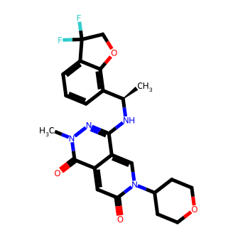 C[C@@H](Nc1nn(C)c(=O)c2cc(=O)n(C3CCOCC3)cc12)c1cccc2c1OCC2(F)F